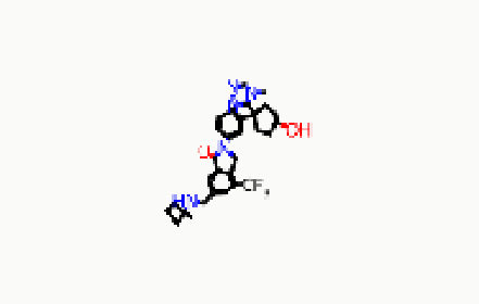 Cn1cnnc1C1(c2cccc(N3Cc4c(cc(CNC5(C)CCC5)cc4C(F)(F)F)C3=O)c2)CCC(O)CC1